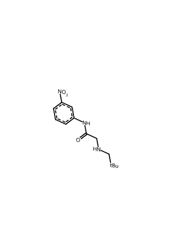 CC(C)(C)CNCC(=O)Nc1cccc([N+](=O)[O-])c1